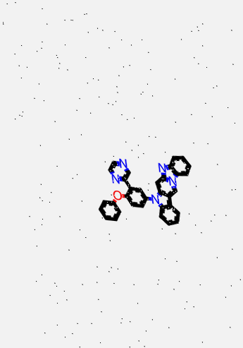 c1ccc(Oc2ccc(-n3c4ccccc4c4cn5c(cc43)nc3ccccc35)cc2-c2cnccn2)cc1